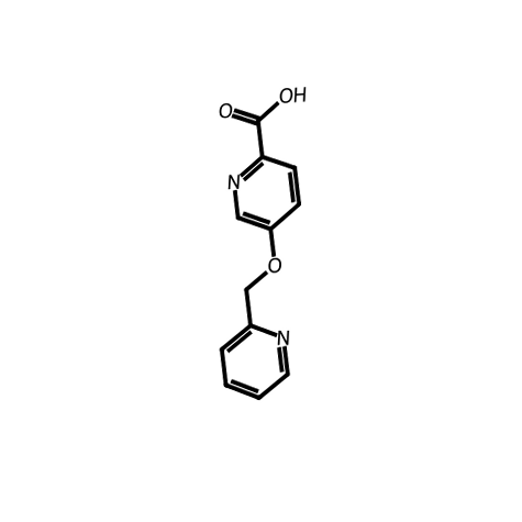 O=C(O)c1ccc(OCc2ccccn2)cn1